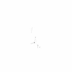 C[CH]CCC([NH])=O